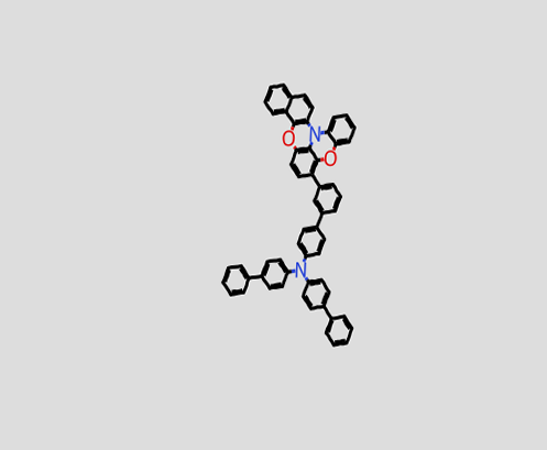 c1ccc(-c2ccc(N(c3ccc(-c4ccccc4)cc3)c3ccc(-c4cccc(-c5ccc6c7c5Oc5ccccc5N7c5ccc7ccccc7c5O6)c4)cc3)cc2)cc1